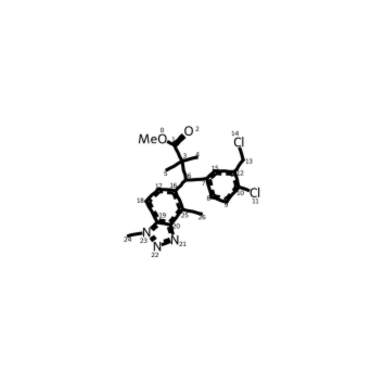 COC(=O)C(C)(C)C(c1ccc(Cl)c(CCl)c1)c1ccc2c(nnn2C)c1C